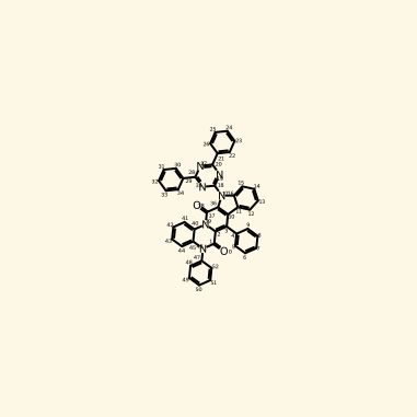 O=c1c2c(-c3ccccc3)c3c4ccccc4n(-c4nc(-c5ccccc5)nc(-c5ccccc5)n4)c3c(=O)n2c2ccccc2n1-c1ccccc1